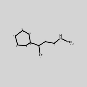 CCC(CCNN)C1CCCCC1